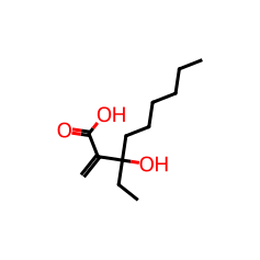 C=C(C(=O)O)C(O)(CC)CCCCCC